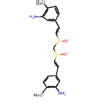 COc1ccc(/C=C/[S+]([O-])C[S+]([O-])/C=C/c2ccc(OC)c(N)c2)cc1N